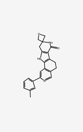 Cc1cccc(-c2cc3c(cn2)CCc2c-3[nH]c3c2C(=O)NC2(COC2)C3)c1